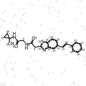 N#CC1(NC(=O)CNC(=O)Cc2nc3cc(/C=C/c4ccccc4)ccc3s2)CC1